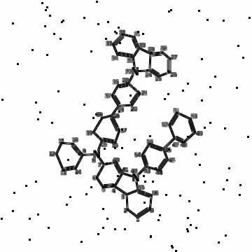 C1=CCC2C3=CCC(N(C4=CCCC=C4)C4=CC=C(c5ccc(-n6c7ccccc7c7ccccc76)cc5)CC4)C=C3N(c3ccc(-c4ccccc4)cc3)C2=C1